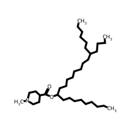 CCCCCCCCCC(CCCCCCCCC(CCCC)CCCCCC)OC(=O)C1CCN(C)CC1